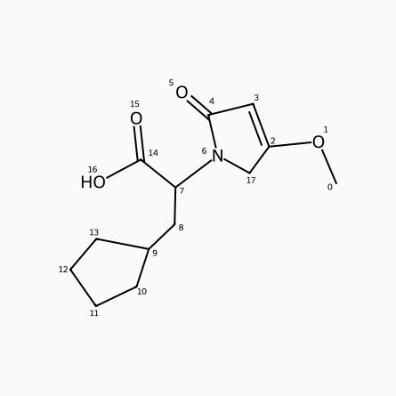 COC1=CC(=O)N(C(CC2CCCC2)C(=O)O)C1